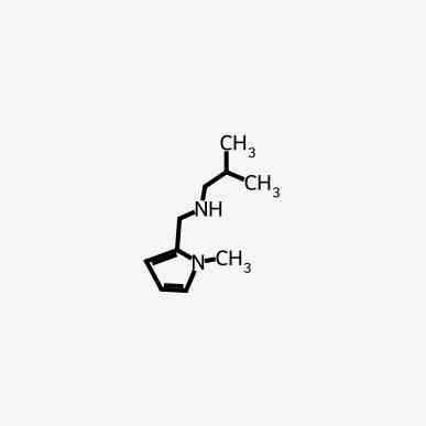 CC(C)CNCc1cccn1C